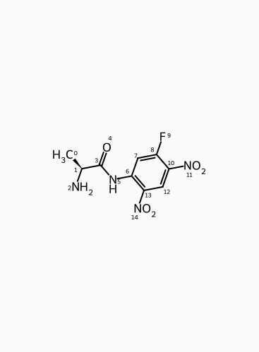 C[C@H](N)C(=O)Nc1cc(F)c([N+](=O)[O-])cc1[N+](=O)[O-]